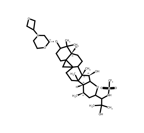 C[C@@H]1CC(C(NS(=O)(=O)C(F)(F)F)C(C)(C)O)OC2[C@H]1C1(C)CCC34CC35CCC(O[C@H]3CN(C6COC6)CCO3)C(C)(C)[C@@H]5CCC4[C@]1(C)[C@H]2O